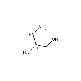 C[C@@H](CO)NN